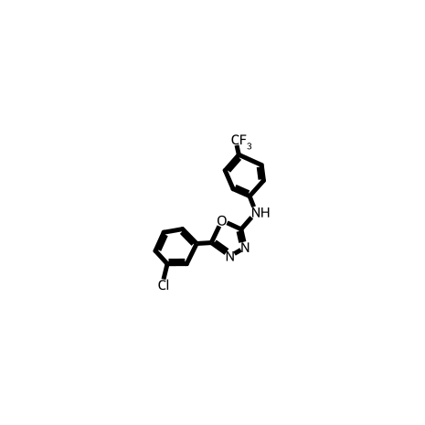 FC(F)(F)c1ccc(Nc2nnc(-c3cccc(Cl)c3)o2)cc1